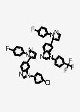 Fc1ccc(-n2nccc2-c2ccc3ncn(-c4ccc(C(F)(F)F)cc4)c3c2)cc1.Fc1ccc(-n2nccc2-c2ccc3ncn(-c4ccc(Cl)cc4)c3c2)cc1